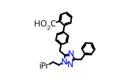 CC(C)CCn1nc(Cc2ccccc2)nc1Cc1ccc(-c2ccccc2C(=O)O)cc1